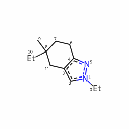 CCn1cc2c(n1)CCC(C)(CC)C2